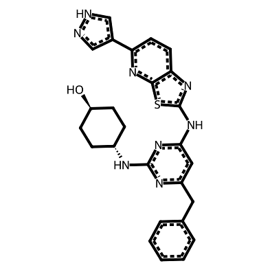 O[C@H]1CC[C@H](Nc2nc(Cc3ccccc3)cc(Nc3nc4ccc(-c5cn[nH]c5)nc4s3)n2)CC1